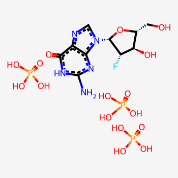 Nc1nc2c(ncn2[C@@H]2O[C@H](CO)[C@@H](O)[C@@H]2F)c(=O)[nH]1.O=P(O)(O)O.O=P(O)(O)O.O=P(O)(O)O